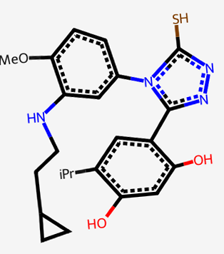 COc1ccc(-n2c(S)nnc2-c2cc(C(C)C)c(O)cc2O)cc1NCCC1CC1